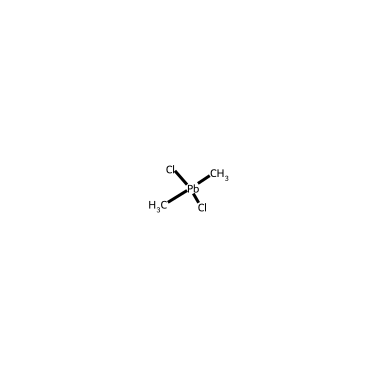 [CH3][Pb]([CH3])([Cl])[Cl]